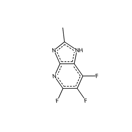 Cc1nc2nc(F)c(F)c(F)c2[nH]1